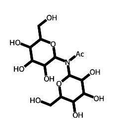 CC(=O)N(C1OC(CO)C(O)C(O)C1O)C1OC(CO)C(O)C(O)C1O